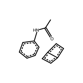 CC(=O)Nc1ccccc1.c1cc2ccc1-2